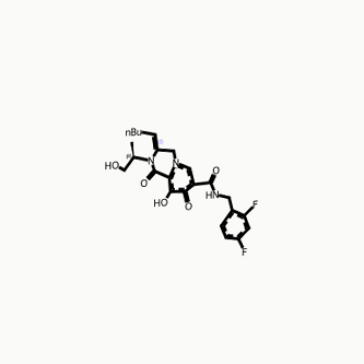 CCCC/C=C1/Cn2cc(C(=O)NCc3ccc(F)cc3F)c(=O)c(O)c2C(=O)N1[C@H](C)CO